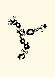 Cc1ccc(S(=O)(=O)N2CCOCC2)cc1-c1ccc(C[C@H](NC(=O)[C@H]2CC[C@H](CNC(=O)OC(C)(C)C)CC2)C(=O)Nc2ccc3[nH]c(=O)[nH]c3c2)cc1